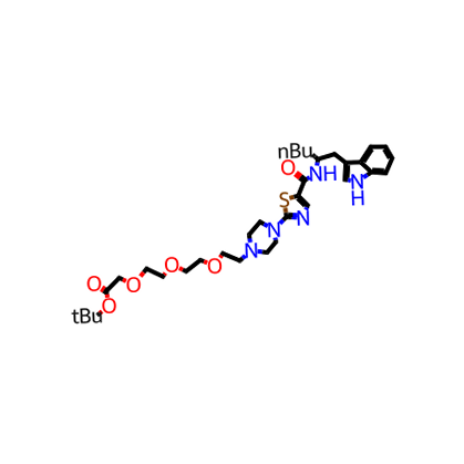 CCCCC(Cc1c[nH]c2ccccc12)NC(=O)c1cnc(N2CCN(CCOCCOCCOCC(=O)OC(C)(C)C)CC2)s1